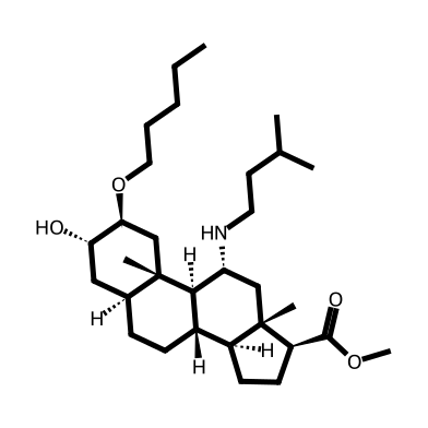 CCCCCO[C@H]1C[C@@]2(C)[C@@H](CC[C@@H]3[C@@H]2[C@H](NCCC(C)C)C[C@]2(C)[C@@H](C(=O)OC)CC[C@@H]32)C[C@@H]1O